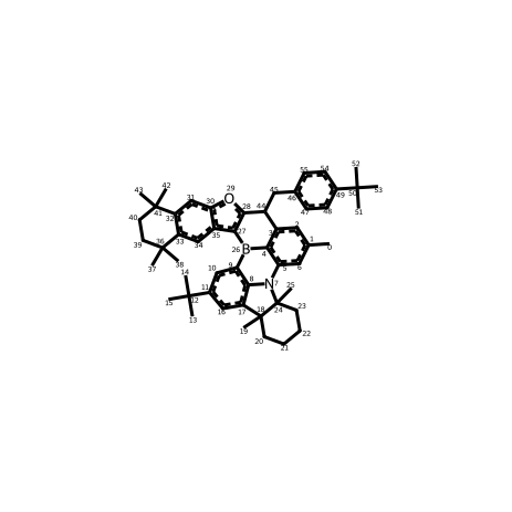 Cc1cc2c3c(c1)N1c4c(cc(C(C)(C)C)cc4C4(C)CCCCC14C)B3c1c(oc3cc4c(cc13)C(C)(C)CCC4(C)C)C2Cc1ccc(C(C)(C)C)cc1